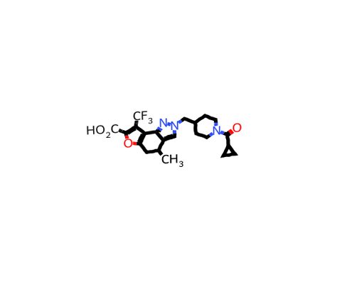 CC1Cc2oc(C(=O)O)c(C(F)(F)F)c2-c2nn(CC3CCN(C(=O)C4CC4)CC3)cc21